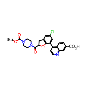 CC(C)(C)OC(=O)N1CCN(C(=O)C2Cc3cc(Cl)cc(-c4ccnc5cc(C(=O)O)ccc45)c3O2)CC1